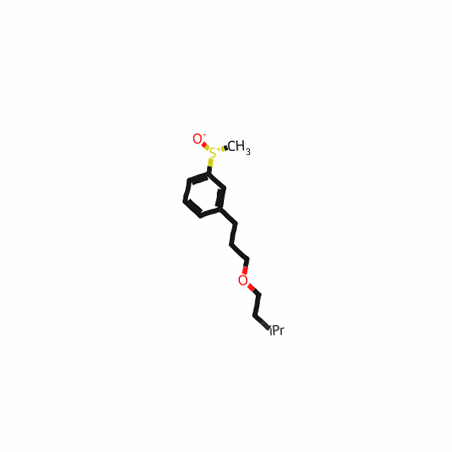 CC(C)CCOCCCc1cccc([S+](C)[O-])c1